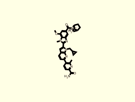 COc1cc(C(=O)N2CC3CCC2[C@@H]3N)cc2nc(-c3cc4ccc(-c5ccc(C(N)=O)nc5C)nc4n3CC3CC3)n(C)c12